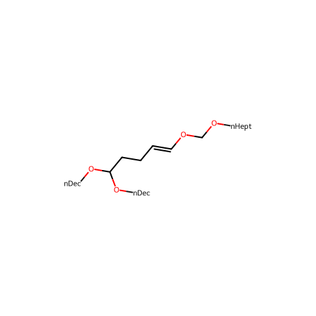 CCCCCCCCCCOC(CCC=COCOCCCCCCC)OCCCCCCCCCC